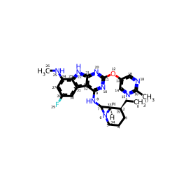 CC[C@H]1CCCN2C(Nc3nc(Oc4cnc(C)nc4)nc4[nH]c5c(NC)cc(F)cc5c34)[C@@H]12